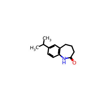 CC(C)c1ccc2c(c1)CCCC(=O)N2